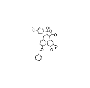 COc1ccc(C2(O)OC(=O)C(c3ccc4c(c3)OCO4)=C2Cc2ccc(OCc3ccccc3)cc2)cc1